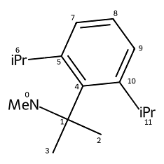 CNC(C)(C)c1c(C(C)C)cccc1C(C)C